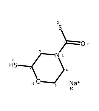 O=C([S-])N1CCOC(S)C1.[Na+]